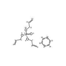 C=CCOP(=O)(OCC=C)OCC=C.c1ccccc1